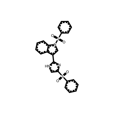 O=S(=O)(c1ccccc1)c1c[nH]c(-c2cn(S(=O)(=O)c3ccccc3)c3ccccc23)n1